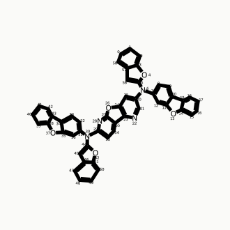 c1ccc2oc(N(c3ccc4c(c3)oc3ccccc34)c3cnc4c(c3)oc3nc(N(c5ccc6c(c5)oc5ccccc56)c5cc6ccccc6o5)ccc34)cc2c1